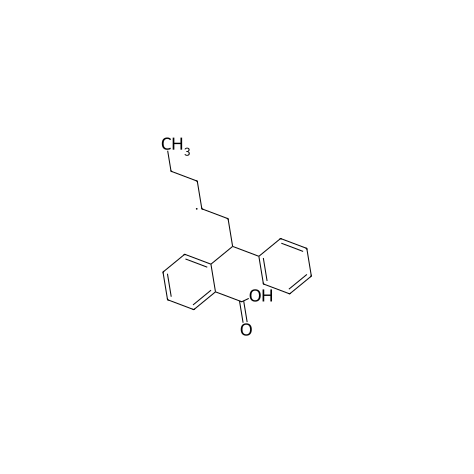 CCC[CH]CC(c1ccccc1)c1ccccc1C(=O)O